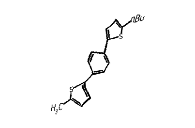 CCCCc1ccc(-c2ccc(-c3ccc(C)s3)cc2)s1